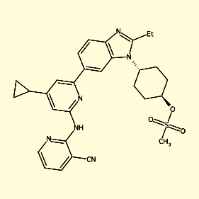 CCc1nc2ccc(-c3cc(C4CC4)cc(Nc4ncccc4C#N)n3)cc2n1[C@H]1CC[C@H](OS(C)(=O)=O)CC1